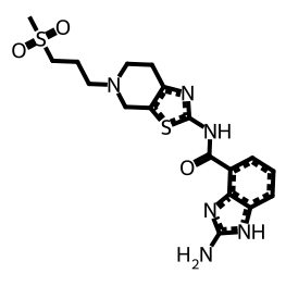 CS(=O)(=O)CCCN1CCc2nc(NC(=O)c3cccc4[nH]c(N)nc34)sc2C1